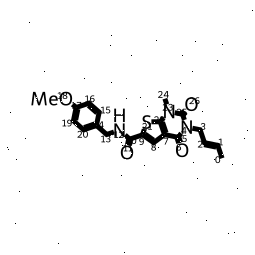 CC=CCn1c(=O)c2cc(C(=O)NCc3ccc(OC)cc3)sc2n(C)c1=O